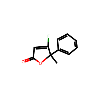 CC1(c2ccccc2)OC(=O)C=C1F